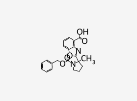 CC1(c2nc3c(C(=O)O)cccc3o2)CCCN1C(=O)OCc1ccccc1